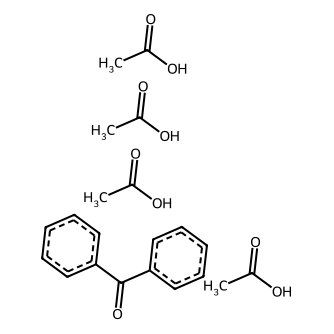 CC(=O)O.CC(=O)O.CC(=O)O.CC(=O)O.O=C(c1ccccc1)c1ccccc1